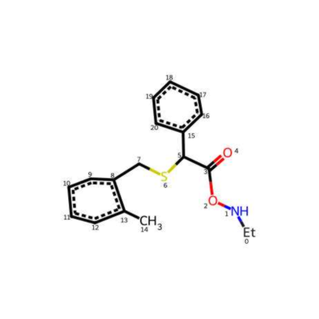 CCNOC(=O)C(SCc1ccccc1C)c1ccccc1